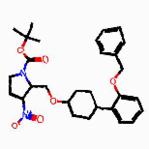 CC(C)(C)OC(=O)N1CCC([N+](=O)[O-])C1COC1CCC(c2ccccc2OCc2ccccc2)CC1